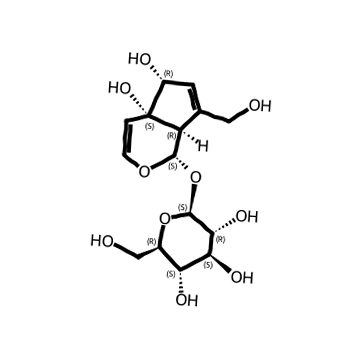 OCC1=C[C@@H](O)[C@]2(O)C=CO[C@@H](O[C@@H]3O[C@H](CO)[C@@H](O)[C@H](O)[C@H]3O)[C@H]12